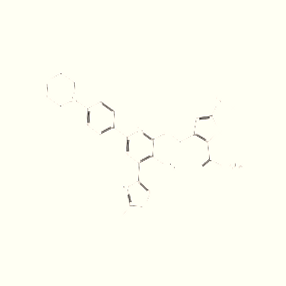 COC(=O)c1sc([N+](=O)[O-])cc1COc1nc(-c2ccc(N3CCOCC3)cc2)cc(-c2coc(C)n2)c1C#N